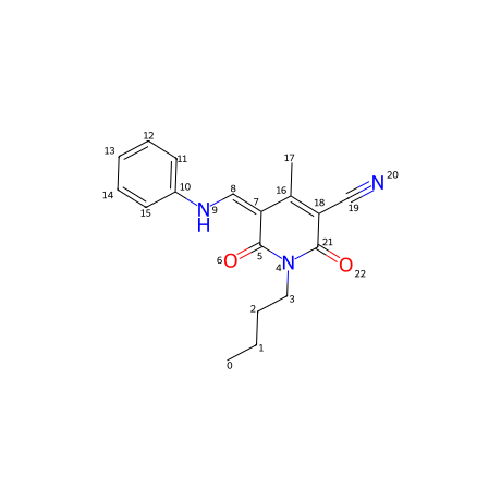 CCCCN1C(=O)C(=CNc2ccccc2)C(C)=C(C#N)C1=O